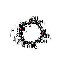 CCCC[C@H]1C(=O)N(C)[C@@H](CCCC)C(=O)N[C@@H](CC(C)C)C(=O)N[C@H](C(=O)N(C)CC(N)=O)CSCC(=O)N[C@@H](Cc2ccc(O)cc2)C(=O)N(C)[C@@H](C)C(=O)N[C@@H](CC(N)=O)C(=O)N2CCC[C@H]2C(=O)N[C@@H](CN)C(=O)N[C@@H](CC(C)C)C(=O)N2C[C@H](O)C[C@H]2C(=O)N[C@@H](Cc2c[nH]c3ccccc23)C(=O)NCC(=O)N[C@@H](Cc2c[nH]c3ccccc23)C(=O)N1C